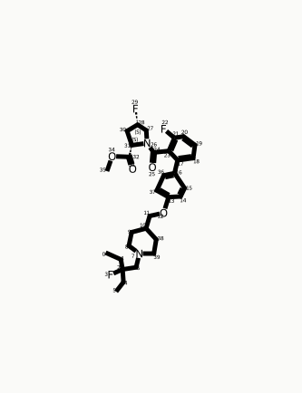 CCC(F)(CC)CN1CCC(COc2ccc(-c3cccc(F)c3C(=O)N3C[C@@H](F)C[C@H]3C(=O)OC)cc2)CC1